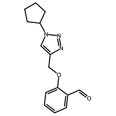 O=Cc1ccccc1OCc1cn(C2CCCC2)nn1